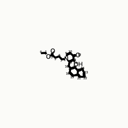 CCOC(=O)CCCn1ccc(=O)c(O)c1Cc1ccc2ccccc2c1